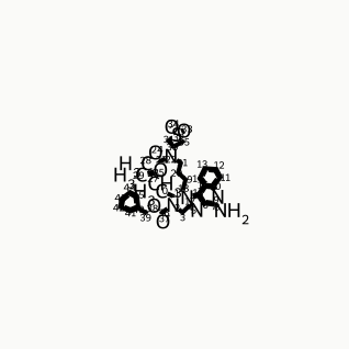 CCN(Cc1nc2c(N)nc3ccccc3c2n1CCCCN(C(=O)OC(C)(C)C)C1CS(=O)(=O)C1)C(=O)OCc1ccccc1